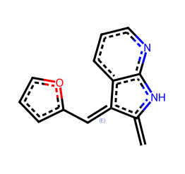 C=c1[nH]c2ncccc2/c1=C\c1ccco1